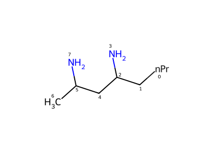 CCCCC(N)CC(C)N